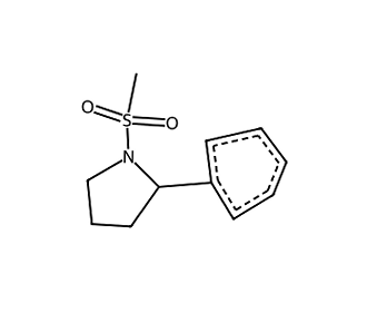 CS(=O)(=O)N1CCCC1c1ccccc1